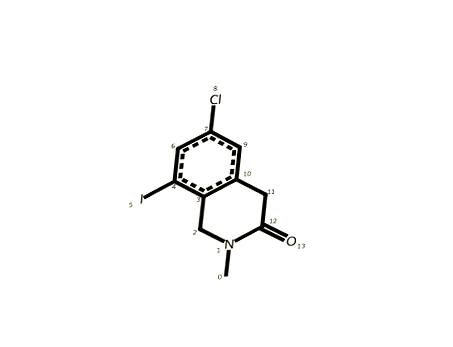 CN1Cc2c(I)cc(Cl)cc2CC1=O